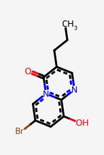 CCCc1cnc2c(O)cc(Br)cn2c1=O